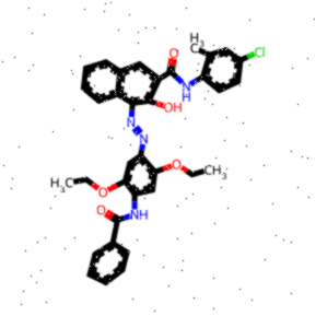 CCOc1cc(NC(=O)c2ccccc2)c(OCC)cc1/N=N/c1c(O)c(C(=O)Nc2ccc(Cl)cc2C)cc2ccccc12